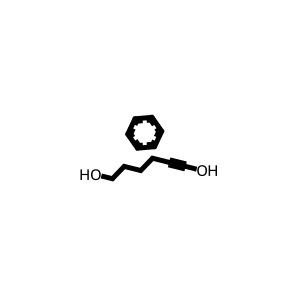 OC#CCCCCO.c1ccccc1